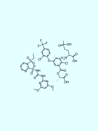 CCS(=O)(=O)c1cccnc1S(=O)(=O)NC(=O)Nc1nc(OC)cc(OC)n1.CP(=O)(O)CCC(N)C(=O)O.C[C@H](OC(=O)c1cc(Oc2ccc(C(F)(F)F)cc2Cl)ccc1Cl)C(=O)O